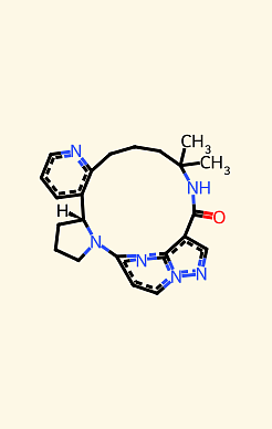 CC1(C)CCCc2ncccc2[C@H]2CCCN2c2ccn3ncc(c3n2)C(=O)N1